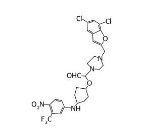 O=CC(OC1CCC(Nc2ccc([N+](=O)[O-])c(C(F)(F)F)c2)CC1)N1CCN(Cc2cc3cc(Cl)cc(Cl)c3o2)CC1